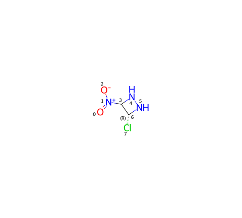 O=[N+]([O-])C1NN[C@@H]1Cl